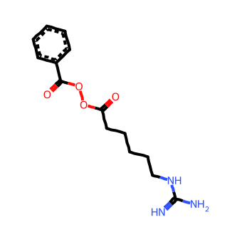 N=C(N)NCCCCCC(=O)OOC(=O)c1ccccc1